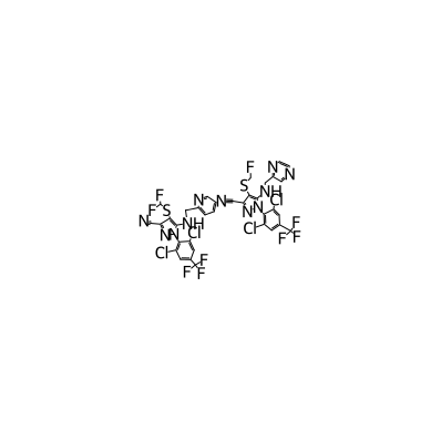 N#Cc1nn(-c2c(Cl)cc(C(F)(F)F)cc2Cl)c(NCc2ccccn2)c1SC(F)F.N#Cc1nn(-c2c(Cl)cc(C(F)(F)F)cc2Cl)c(NCc2cnccn2)c1SCF